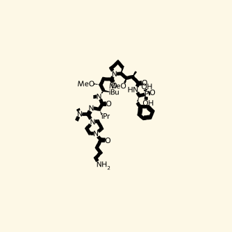 CC[C@H](C)[C@@H]([C@@H](CC(=O)N1CCC[C@H]1[C@H](OC)[C@@H](C)C(=O)N[C@@H](Cc1ccccc1)P(=O)(O)O)OC)N(C)C(=O)[C@@H](/N=C(/N(C)C)N1CCN(C(=O)CCCN)CC1)C(C)C